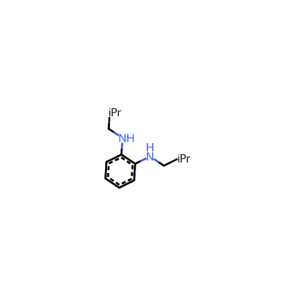 CC(C)CNc1ccccc1NCC(C)C